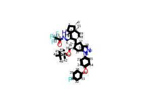 C[C@H]1CC[C@H]2[C@H](CNC(=O)C(F)(F)F)[C@@H]([C@@]3(C)Cc4cnn(-c5ccc(Oc6ccc(F)cc6)cc5)c4C[C@@H]3CO[Si](C)(C)C(C)(C)C)CC[C@]12C